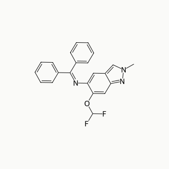 Cn1cc2cc(N=C(c3ccccc3)c3ccccc3)c(OC(F)F)cc2n1